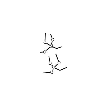 CC[Si](OC)(OC)OC.CC[Si](OC)(OC)OC